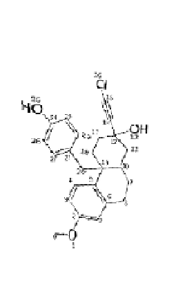 COc1ccc2c(c1)CCC1CC(O)(C#CCl)CCC21Cc1ccc(O)cc1